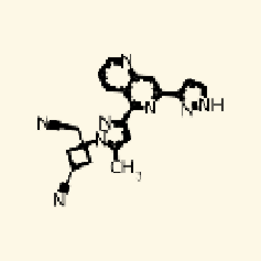 Cc1cc(-c2nc(-c3cc[nH]n3)cc3ncccc23)nn1[C@]1(CC#N)C[C@@H](C#N)C1